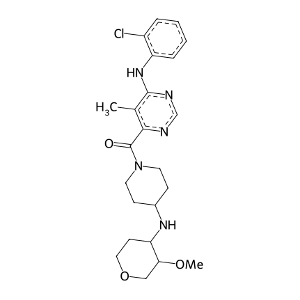 COC1COCCC1NC1CCN(C(=O)c2ncnc(Nc3ccccc3Cl)c2C)CC1